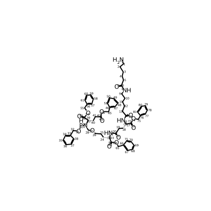 NCCCCCC(=O)NCCCCCC(=O)N[C@@H](CCC(=O)N[C@@H](CCCOCN(POCc1ccccc1)[C@@H](CCC(=O)OCc1ccccc1)C(=O)OCc1ccccc1)C(=O)OCc1ccccc1)C(=O)OCc1ccccc1